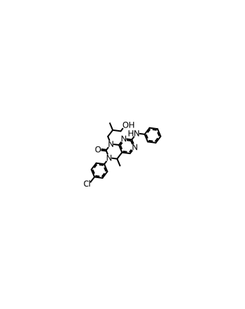 CC(CO)CN1C(=O)N(c2ccc(Cl)cc2)C(C)c2cnc(Nc3ccccc3)nc21